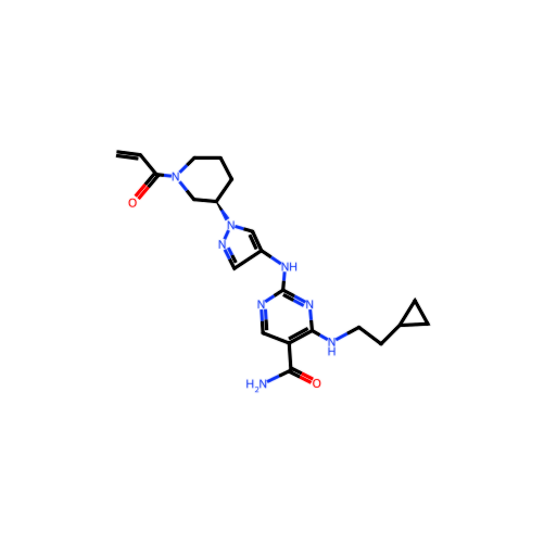 C=CC(=O)N1CCC[C@@H](n2cc(Nc3ncc(C(N)=O)c(NCCC4CC4)n3)cn2)C1